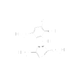 O=C(O)c1cc(O)c(O)c(O)c1.O=C(O)c1ccc(C(=O)O)cc1